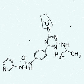 CC(C)Nc1nc(-c2ccc(NC(=O)Nc3cccnc3)cc2)nc(N2CC3CCC(C2)O3)n1